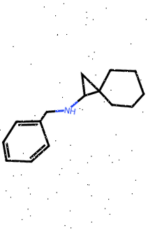 c1ccc(CNC2CC23CCCCC3)cc1